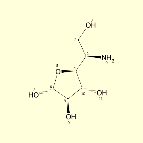 N[C@H](CO)[C@@H]1O[C@@H](O)[C@H](O)[C@H]1O